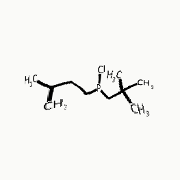 CC(C)CCP(Cl)CC(C)(C)C